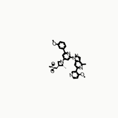 COc1cccc(-c2cc(N3C[C@H](CS(C)(=O)=O)[C@H]3C)cc(-n3ncc4c(C)nc(-c5cnccc5OC)cc43)n2)c1